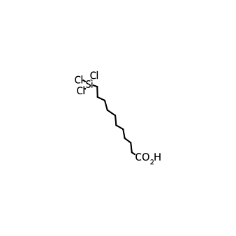 O=C(O)CCCCCCCCCC[Si](Cl)(Cl)Cl